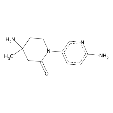 CC1(N)CCN(c2ccc(N)nc2)C(=O)C1